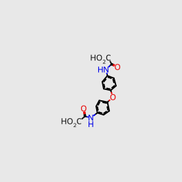 O=C(O)C(=O)Nc1ccc(Oc2ccc(NC(=O)C(=O)O)cc2)cc1